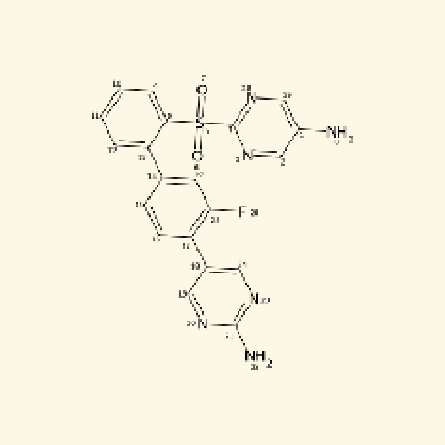 Nc1cnc(S(=O)(=O)c2ccccc2-c2ccc(-c3cnc(N)nc3)c(F)c2)nc1